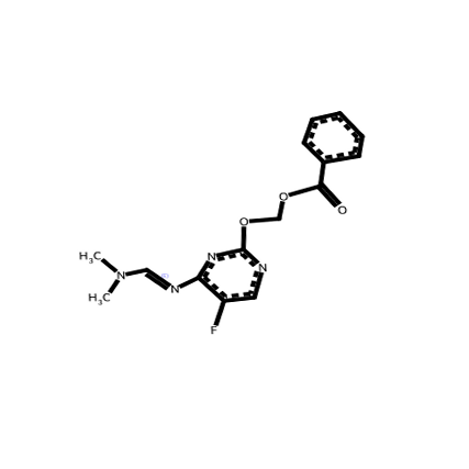 CN(C)/C=N/c1nc(OCOC(=O)c2ccccc2)ncc1F